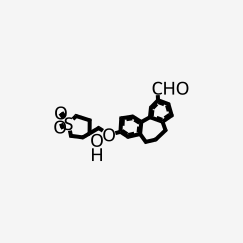 O=Cc1ccc2c(c1)-c1ccc(OCC3(O)CCS(=O)(=O)CC3)cc1CCC2